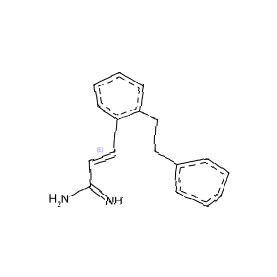 N=C(N)/C=C/c1ccccc1CCc1ccccc1